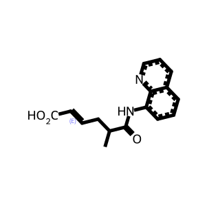 CC(C/C=C/C(=O)O)C(=O)Nc1cccc2cccnc12